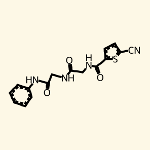 N#Cc1ccc(C(=O)NCC(=O)NCC(=O)Nc2ccccc2)s1